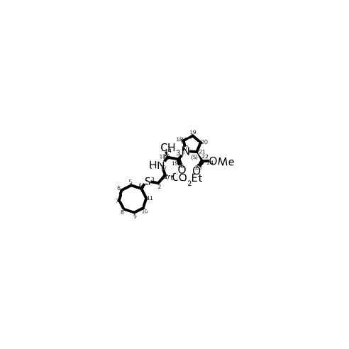 CCOC(=O)[C@H](CSC1CCCCCCC1)N[C@@H](C)C(=O)N1CCC[C@H]1C(=O)OC